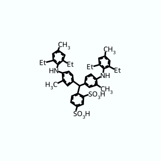 CCc1cc(C)cc(CC)c1Nc1ccc(C(c2ccc(Nc3c(CC)cc(C)cc3CC)c(C)c2)c2ccc(S(=O)(=O)O)cc2S(=O)(=O)O)cc1C